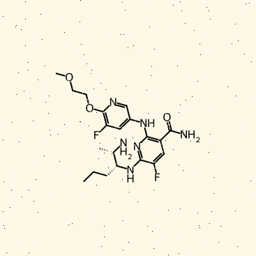 CCC[C@@H](Nc1nc(Nc2cnc(OCCOC)c(F)c2)c(C(N)=O)cc1F)[C@H](C)N